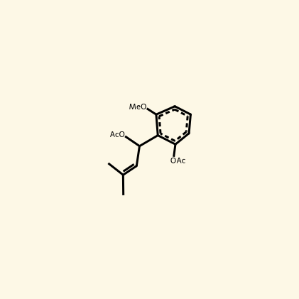 COc1cccc(OC(C)=O)c1C(C=C(C)C)OC(C)=O